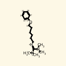 CN(C)C(=NCCCCCCOc1ccccc1)N(C)C